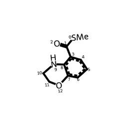 CSC(=O)c1cccc2c1NCCO2